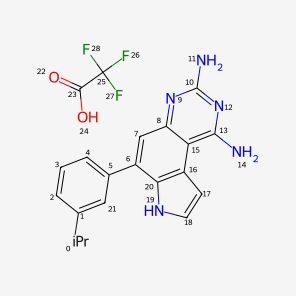 CC(C)c1cccc(-c2cc3nc(N)nc(N)c3c3cc[nH]c23)c1.O=C(O)C(F)(F)F